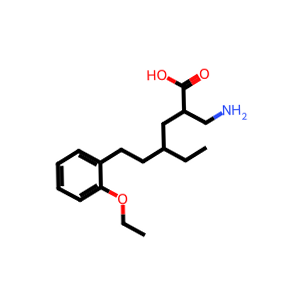 CCOc1ccccc1CCC(CC)CC(CN)C(=O)O